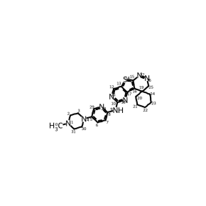 CN1CCN(c2ccc(Nc3ncc4sc5c(c4n3)C3(CCCCC3)CN=N5)nc2)CC1